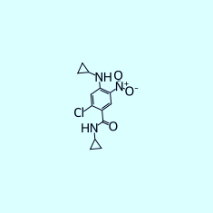 O=C(NC1CC1)c1cc([N+](=O)[O-])c(NC2CC2)cc1Cl